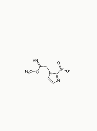 COC(=N)Cn1ccnc1[N+](=O)[O-]